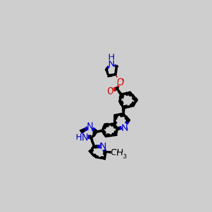 Cc1cccc(-c2[nH]cnc2-c2ccc3ncc(-c4cccc(C(=O)O[C@@H]5CCNC5)c4)cc3c2)n1